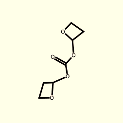 O=C(OC1CCO1)OC1CCO1